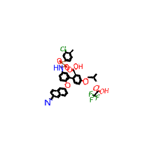 Cc1ccc(S(=O)(=O)Nc2ccc(Oc3ccc4cc(C#N)ccc4c3)c(-c3ccc(OCC(C)C)cc3C(=O)O)c2)cc1Cl.O=C(O)C(F)(F)F